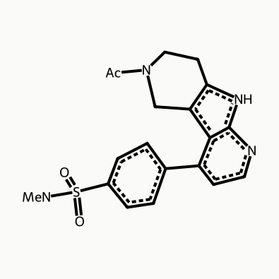 CNS(=O)(=O)c1ccc(-c2ccnc3[nH]c4c(c23)CN(C(C)=O)CC4)cc1